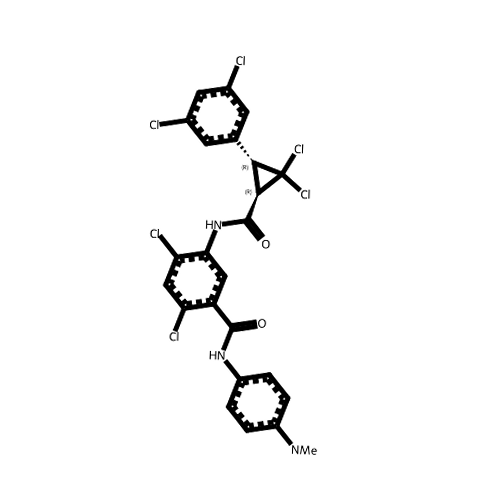 CNc1ccc(NC(=O)c2cc(NC(=O)[C@H]3[C@H](c4cc(Cl)cc(Cl)c4)C3(Cl)Cl)c(Cl)cc2Cl)cc1